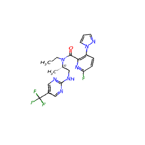 CCN(C(=O)c1nc(F)ccc1-n1cccn1)[C@@H](C)CNc1ncc(C(F)(F)F)cn1